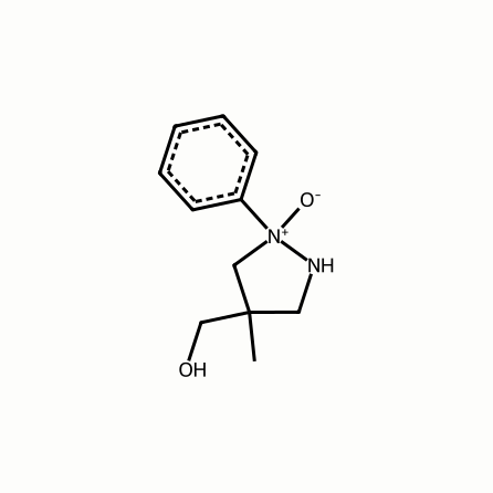 CC1(CO)CN[N+]([O-])(c2ccccc2)C1